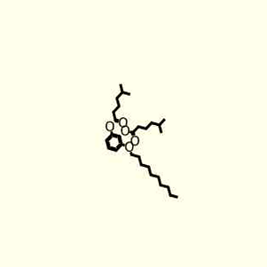 CCCCCCCCCCOc1cccc(OC(=O)CCCC(C)C)c1OC(=O)CCCC(C)C